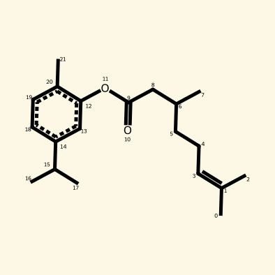 CC(C)=CCCC(C)CC(=O)Oc1cc(C(C)C)ccc1C